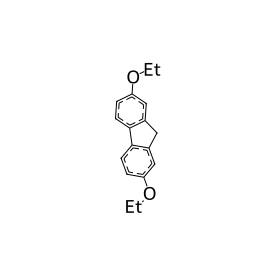 CCOc1ccc2c(c1)Cc1cc(OCC)ccc1-2